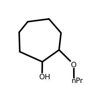 CCCOC1CCCCCC1O